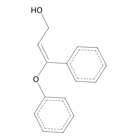 OCC=C(Oc1ccccc1)c1ccccc1